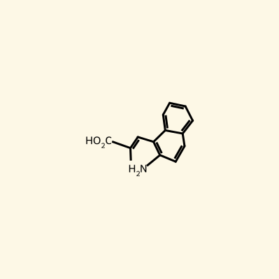 C/C(=C\c1c(N)ccc2ccccc12)C(=O)O